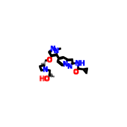 C[C@H](O)CN1CC[C@@H]1COc1cnn(C)c1-c1ccn2nc(NC(=O)C3CC3)cc2c1